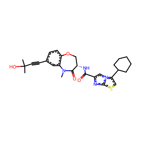 CN1C(=O)[C@@H](NC(=O)c2cn3c(C4CCCCC4)csc3n2)COc2ccc(C#CC(C)(C)O)cc21